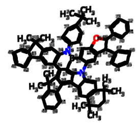 CC(C)(C)c1ccc(N2B3c4cc5c(cc4-n4c6cc7c(cc6c6c8c(c(c3c64)-c3cc4c(cc32)C(C)(C)c2ccccc2-4)C(C)(C)c2ccccc2-8)C(C)(C)CCC7(C)C)C(c2ccccc2)C(c2ccccc2)O5)cc1